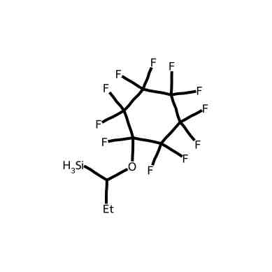 CCC([SiH3])OC1(F)C(F)(F)C(F)(F)C(F)(F)C(F)(F)C1(F)F